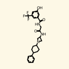 O=C(CNC(=O)c1cc(O)cc(C(F)(F)F)c1)NC1CN(C2CCC(c3ccccc3)CC2)C1